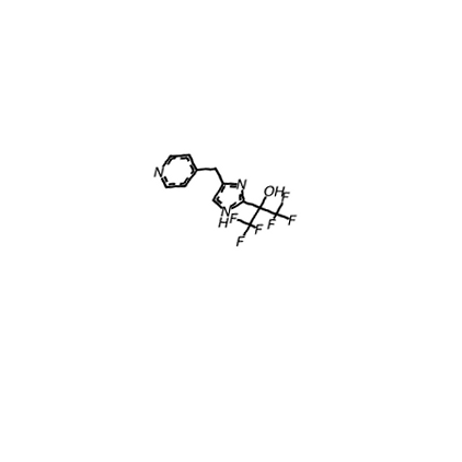 OC(c1nc(Cc2ccncc2)c[nH]1)(C(F)(F)F)C(F)(F)F